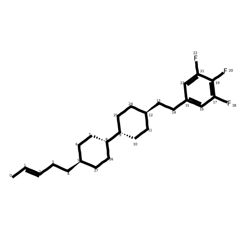 C/C=C/CC[C@H]1CC[C@H]([C@H]2CC[C@H](CCc3cc(F)c(F)c(F)c3)CC2)CC1